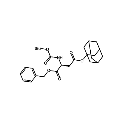 CC(C)(C)OC(=O)N[C@@H](CC(=O)OC12CC3CC(CC(C3)C1)C2)C(=O)OCc1ccccc1